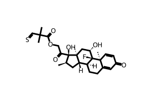 C[C@@H]1C[C@H]2[C@@H]3CCC4=CC(=O)C=C[C@]4(C)[C@@]3(F)[C@@H](O)C[C@]2(C)[C@@]1(O)C(=O)COC(=O)C(C)(C)C=S